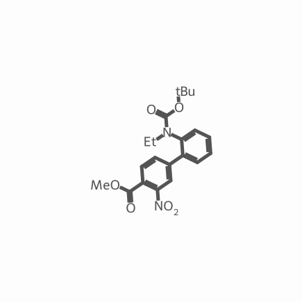 CCN(C(=O)OC(C)(C)C)c1ccccc1-c1ccc(C(=O)OC)c([N+](=O)[O-])c1